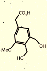 COc1cc(CC(=O)O)cc(CO)c1CO